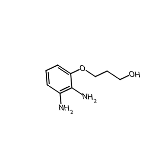 Nc1cccc(OCCCO)c1N